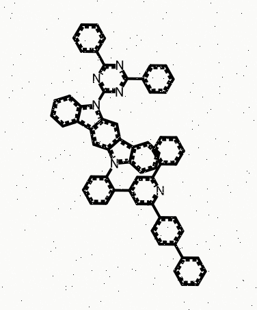 c1ccc(-c2ccc(-c3cc(-c4ccccc4-n4c5ccccc5c5cc6c(cc54)c4ccccc4n6-c4nc(-c5ccccc5)nc(-c5ccccc5)n4)cc(-c4ccccc4)n3)cc2)cc1